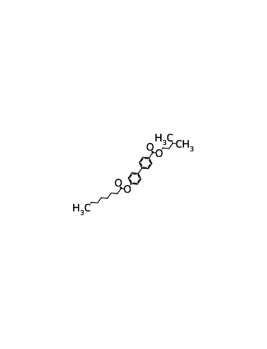 CCCCCCCC(=O)Oc1ccc(-c2ccc(C(=O)OCCC(C)C)cc2)cc1